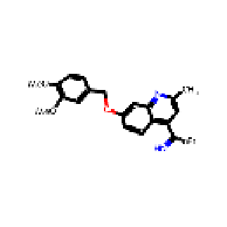 CCCC(=N)c1cc(C)nc2cc(OCc3ccc(OC)c(OC)c3)ccc12